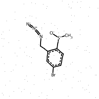 C[S+]([O-])c1ccc(Br)cc1CN=[N+]=[N-]